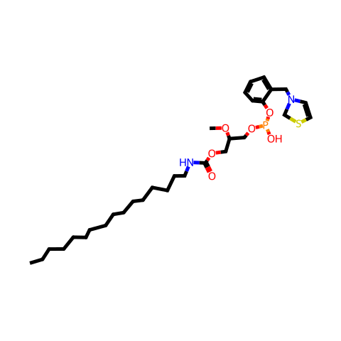 CCCCCCCCCCCCCCCCNC(=O)OCC(COP(O)Oc1ccccc1CN1C=CSC1)OC